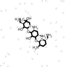 CC1(O)CO[C@H](OC2C(O)C(O[C@H]3O[C@H](CN)CCC3N)[C@@H](N)C[C@H]2N)C(O)[C@H]1CN